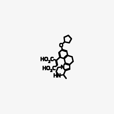 CC1NCCn2c1cc1c2-c2c(cc(OC3CCCC3)cc2C(=CC(=O)O)C(=O)O)CC1